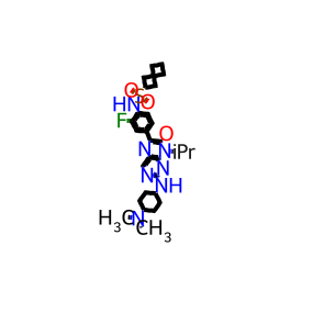 CC(C)n1c(=O)c(-c2ccc(NS(=O)(=O)C3CC4(CCC4)C3)c(F)c2)nc2cnc(NC3CCC(N(C)C)CC3)nc21